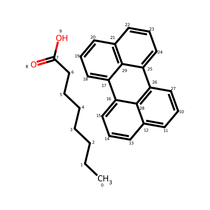 CCCCCCCC(=O)O.c1cc2cccc3c4cccc5cccc(c(c1)c23)c54